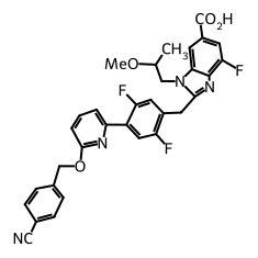 COC(C)Cn1c(Cc2cc(F)c(-c3cccc(OCc4ccc(C#N)cc4)n3)cc2F)nc2c(F)cc(C(=O)O)cc21